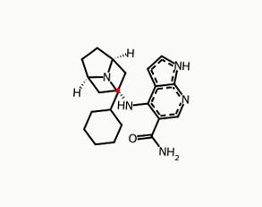 NC(=O)c1cnc2[nH]ccc2c1N[C@@H]1C[C@H]2CC[C@@H](C1)N2CC1CCCCC1